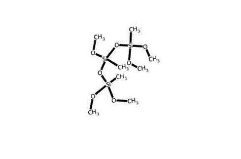 CO[Si](C)(OC)O[Si](C)(OC)O[Si](C)(OC)OC